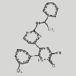 CC(Nc1nccc(-c2cc(C#N)c(=O)[nH]c2-c2cccc(C(F)(F)F)c2)n1)c1ccccc1